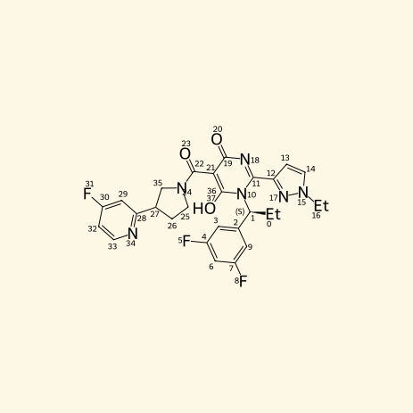 CC[C@@H](c1cc(F)cc(F)c1)n1c(-c2ccn(CC)n2)nc(=O)c(C(=O)N2CCC(c3cc(F)ccn3)C2)c1O